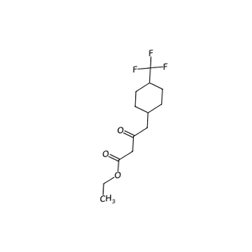 CCOC(=O)CC(=O)CC1CCC(C(F)(F)F)CC1